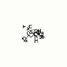 CC[Si](CC)(CC)O[C@@H](CCNC(=O)C(F)(F)F)c1cccs1